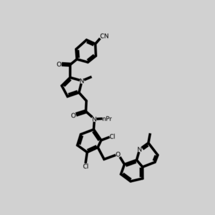 CCCN(C(=O)Cc1ccc(C(=O)c2ccc(C#N)cc2)n1C)c1ccc(Cl)c(COc2cccc3ccc(C)nc23)c1Cl